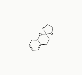 c1ccc2c(c1)CCC1(O2)SCCS1